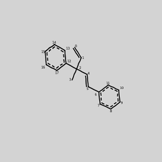 C=CC(C)(C=Cc1ccccc1)c1ccccc1